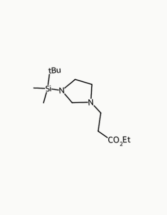 CCOC(=O)CCN1CCN([Si](C)(C)C(C)(C)C)C1